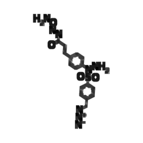 [N-]=[N+]=NCc1ccc(S(=O)(=O)N(N)c2ccc(/C=C/C(=O)N=NON)cc2)cc1